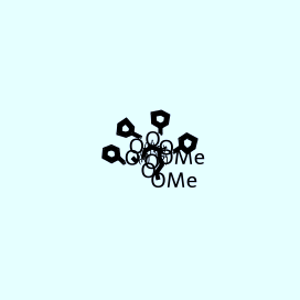 COC(=O)C[C@@]1(OC)O[C@H](COCc2ccccc2)[C@@H](OCc2ccccc2)[C@H](OCc2ccccc2)[C@H]1OCc1ccccc1